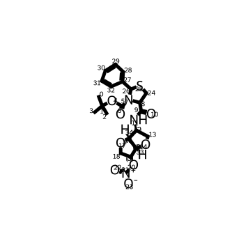 CC(C)(C)OC(=O)N1C(C(=O)N[C@H]2CO[C@H]3[C@@H]2OC[C@@H]3O[N+](=O)[O-])CSC1c1ccccc1